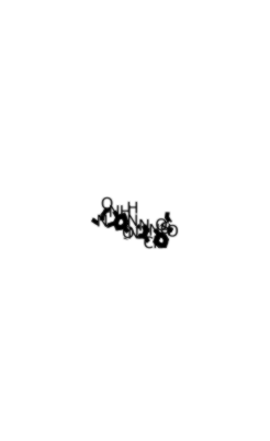 CCCS(=O)(=O)c1ccccc1Nc1nc(Nc2cc3c(cc2OC)CN(CC)CC(=O)N3)ncc1Cl